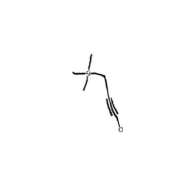 C[Si](C)(C)CC#CCl